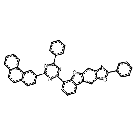 c1ccc(-c2nc(-c3ccc4ccc5ccccc5c4c3)nc(-c3cccc4c3oc3cc5nc(-c6ccccc6)oc5cc34)n2)cc1